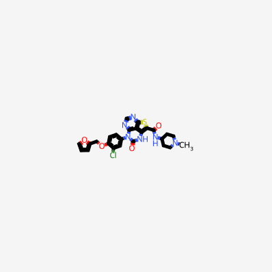 CN1CCC(NC(=O)c2sc3ncnc4c3c2NC(=O)N4c2ccc(OCc3ccco3)c(Cl)c2)CC1